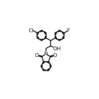 O=C1c2ccccc2C(=O)N1CC(O)C(c1ccc(F)cc1)c1ccc(Cl)cc1